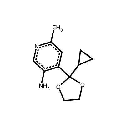 Cc1cc(C2(C3CC3)OCCO2)c(N)cn1